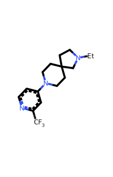 CCN1CCC2(CCN(c3ccnc(C(F)(F)F)c3)CC2)C1